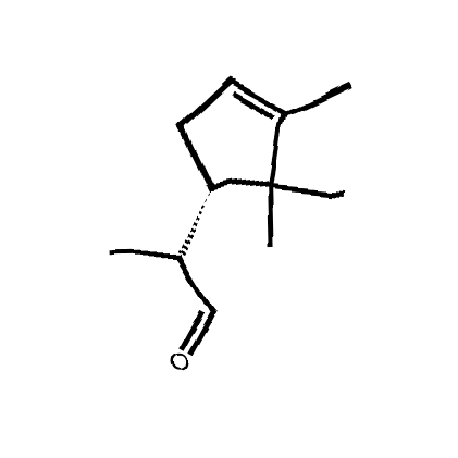 CC1=CC[C@@H](C(C)C=O)C1(C)C